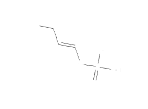 CCC=COP(=O)(O)O